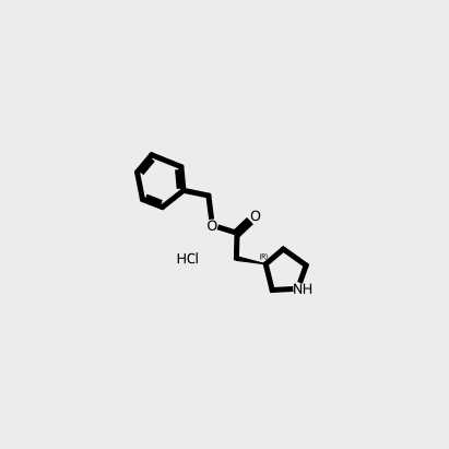 Cl.O=C(C[C@H]1CCNC1)OCc1ccccc1